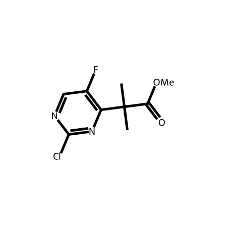 COC(=O)C(C)(C)c1nc(Cl)ncc1F